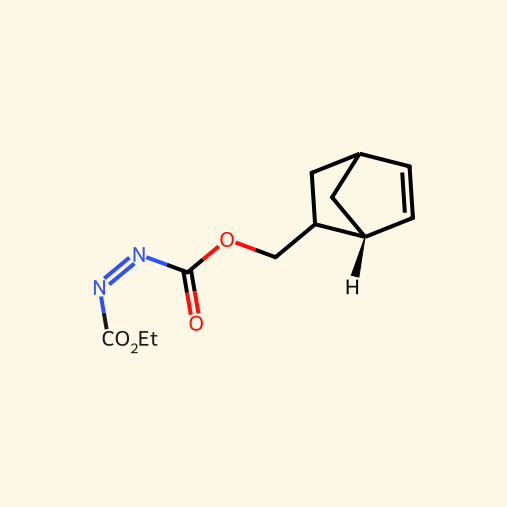 CCOC(=O)/N=N\C(=O)OCC1CC2C=C[C@H]1C2